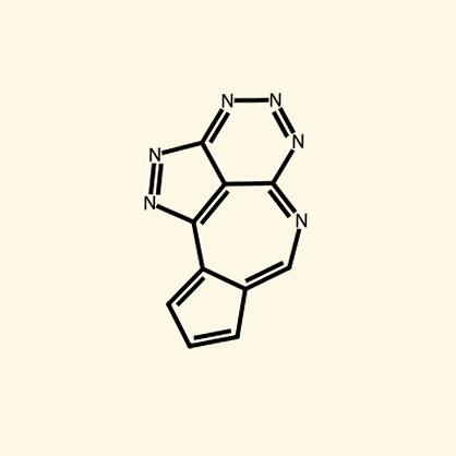 c1cc2cnc3nnnc4nnc(c2c1)c34